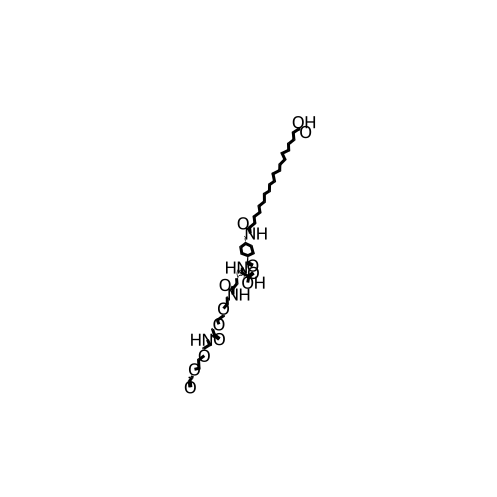 O=[C]COCCOCCNC(=O)COCCOCCNC(=O)CC[C@H](NC(=O)[C@H]1CC[C@H](CNC(=O)CCCCCCCCCCCCCCCCCCC(=O)O)CC1)C(=O)O